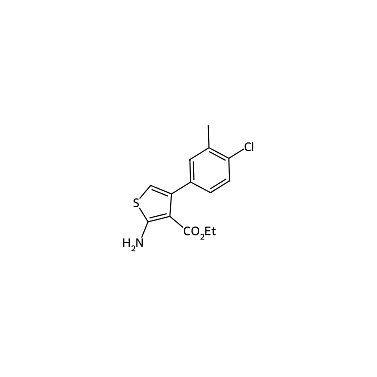 CCOC(=O)c1c(-c2ccc(Cl)c(C)c2)csc1N